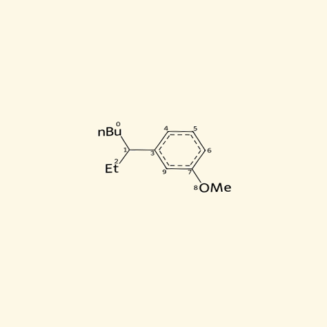 CCCCC(CC)c1cccc(OC)c1